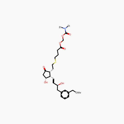 CCN(CC)C(=O)OCOC(=O)CCCSCC[C@H]1C(=O)C[C@@H](O)[C@H]1/C=C/[C@@H](O)Cc1cccc(COC)c1